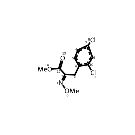 CO/N=C(\Cc1ccc(Cl)cc1Cl)C(=O)OC